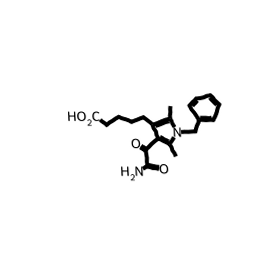 Cc1c(CCCCC(=O)O)c(C(=O)C(N)=O)c(C)n1Cc1ccccc1